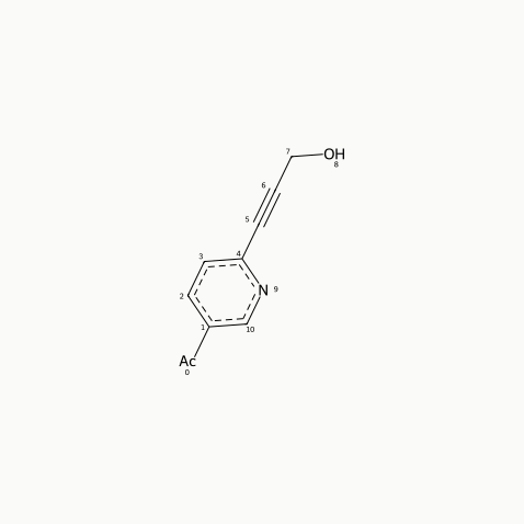 CC(=O)c1ccc(C#CCO)nc1